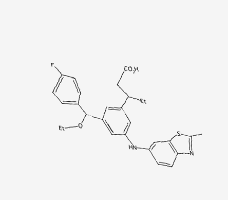 CCOC(c1ccc(F)cc1)c1cc(Nc2ccc3nc(C)sc3c2)cc(C(CC)CC(=O)O)c1